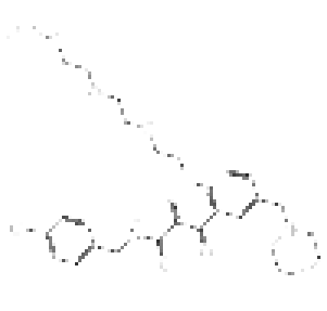 COCCOCCOCCn1cc(C(=O)NCc2ccc(Cl)cc2)c(=O)c2cc(CN3CCOCC3)ccc21